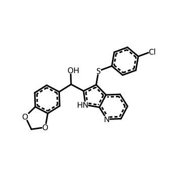 OC(c1ccc2c(c1)OCO2)c1[nH]c2ncccc2c1Sc1ccc(Cl)cc1